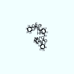 Cn1nnnc1N(C(=O)OCc1cccc(NC(=O)C(F)(F)Oc2ccccc2)n1)c1ccccc1